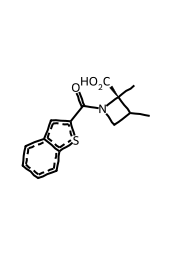 CC1CN(C(=O)c2cc3ccccc3s2)[C@@]1(C)C(=O)O